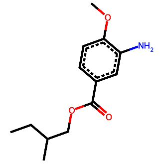 CCC(C)COC(=O)c1ccc(OC)c(N)c1